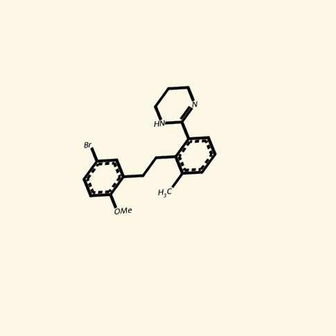 COc1ccc(Br)cc1CCc1c(C)cccc1C1=NCCCN1